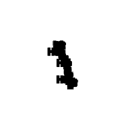 C[N+](C)(C)CC(O)COCCOCCOCC(O)C[N+](C)(C)C.Cl